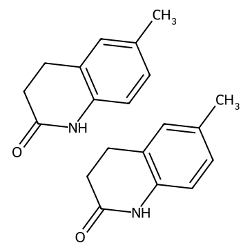 Cc1ccc2c(c1)CCC(=O)N2.Cc1ccc2c(c1)CCC(=O)N2